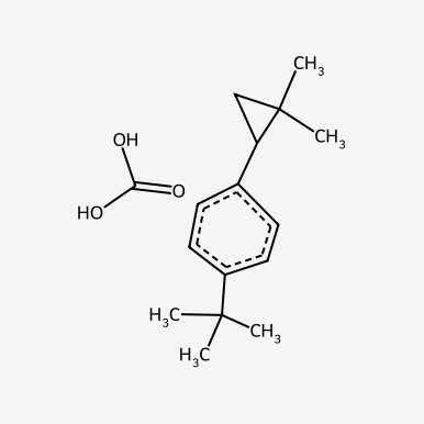 CC(C)(C)c1ccc(C2CC2(C)C)cc1.O=C(O)O